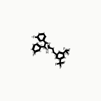 Fc1cccc(C2N=C(CCc3cc(C(F)(F)F)cc(C(F)(F)F)c3)NC2c2cccc(F)c2)c1